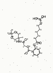 CC1(NC(=O)COC(=O)c2ccccc2OC(=O)CCCCCON(O)O)COC(C)(C)OC1